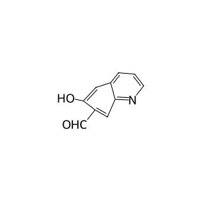 O=Cc1cc2ncccc2cc1O